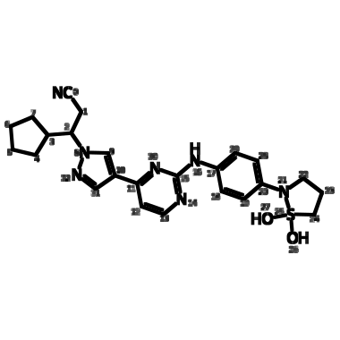 N#CCC(C1CCCC1)n1cc(-c2ccnc(Nc3ccc(N4CCCS4(O)O)cc3)n2)cn1